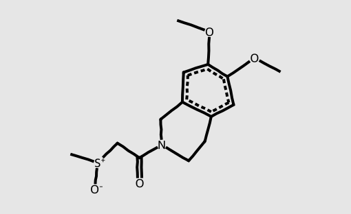 COc1cc2c(cc1OC)CN(C(=O)C[S+](C)[O-])CC2